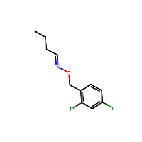 CCC/[C]=N/OCc1ccc(F)cc1F